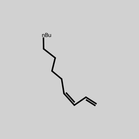 C=C/C=C\CCCCCCCC